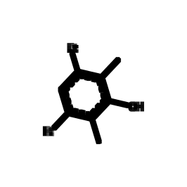 CCc1cc(CC)c(C)c(O)c1C